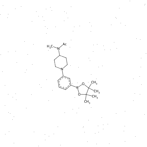 CC(=O)N(C)C1CCN(c2cccc(B3OC(C)(C)C(C)(C)O3)c2)CC1